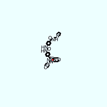 O=C(Nc1ccc(C(=O)NCCN2CCCC2)cc1)Nc1ccc(-c2nc(N3CCOCC3)nc(N3C4COCC3COC4)n2)cc1